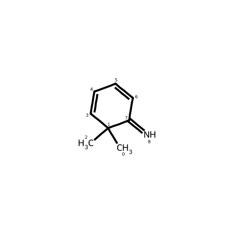 CC1(C)C=CC=CC1=N